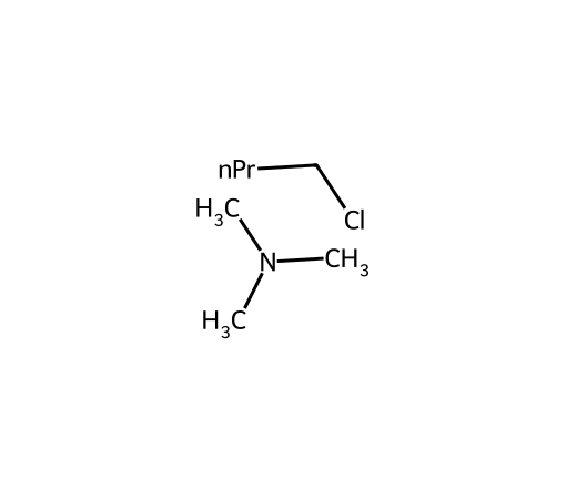 CCCCCl.CN(C)C